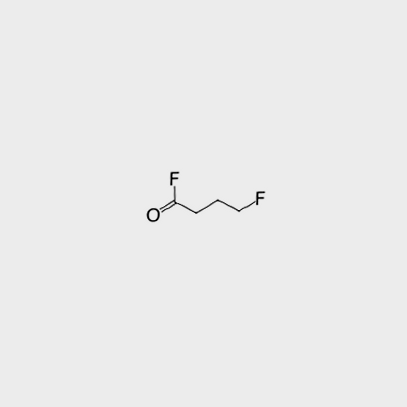 O=C(F)CCCF